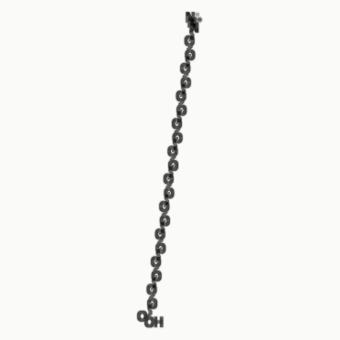 [N-]=[N+]=NCCOCCOCCOCCOCCOCCOCCOCCOCCOCCOCCOCCOCCOCCOCCOCCOCCOCCOCCOCCOCCC(=O)O